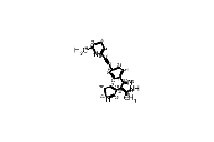 Cc1cccc(C#Cc2ccc(-c3n[nH]c(C)c3-c3cccnc3)cc2)n1